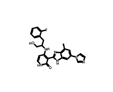 Cc1cc(-n2ccnc2)cc2[nH]c(-c3c(NC(CO)Cc4ccccc4F)cc[nH]c3=O)nc12